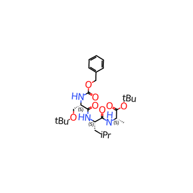 CC(C)C[C@H](NC(=O)[C@H](COC(C)(C)C)NC(=O)OCc1ccccc1)C(=O)N[C@@H](C)C(=O)OC(C)(C)C